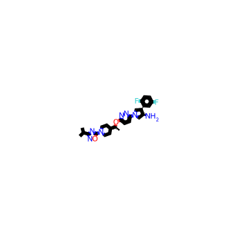 CC(C)c1noc(N2CCC([C@H](C)Oc3ccc(N4C[C@H](c5cc(F)ccc5F)[C@@H](N)C4)nn3)CC2)n1